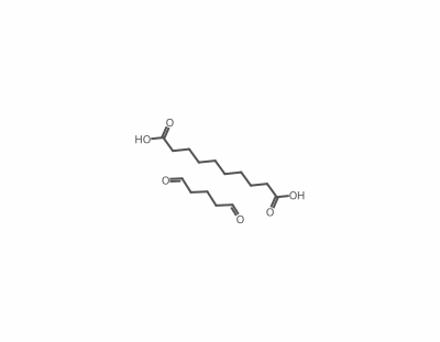 O=C(O)CCCCCCCCC(=O)O.O=CCCCC=O